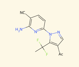 CC(=O)c1cnn(-c2ccc(C#N)c(N)n2)c1C(C)(F)F